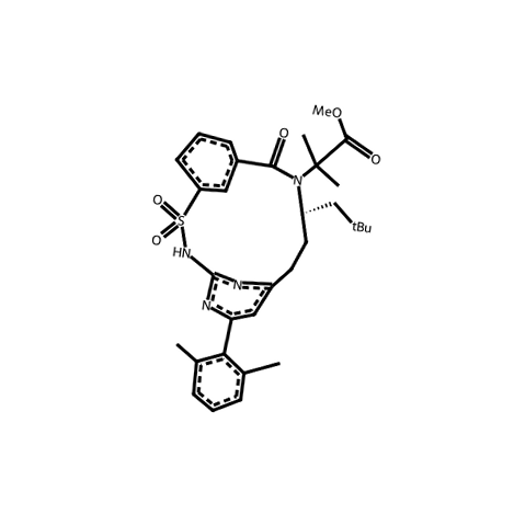 COC(=O)C(C)(C)N1C(=O)c2cccc(c2)S(=O)(=O)Nc2nc(cc(-c3c(C)cccc3C)n2)CC[C@H]1CC(C)(C)C